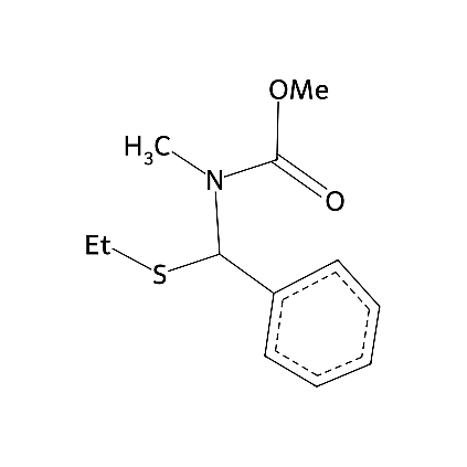 CCSC(c1ccccc1)N(C)C(=O)OC